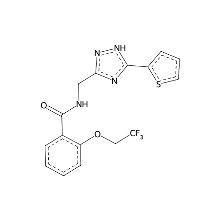 O=C(NCc1n[nH]c(-c2cccs2)n1)c1ccccc1OCC(F)(F)F